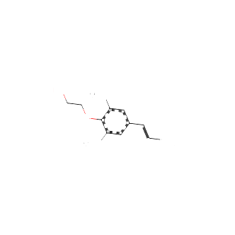 COc1cc(C=CC(=O)O)cc(OC)c1OCCO